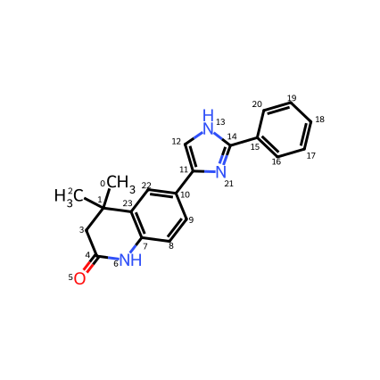 CC1(C)CC(=O)Nc2ccc(-c3c[nH]c(-c4ccccc4)n3)cc21